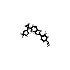 O=Cc1ccc(-c2nc3ccc(C4(C5CCC(F)(F)C5)CC4)nc3s2)c(F)c1